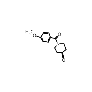 COc1ccc(C(=O)N2CCC(=O)CC2)cc1